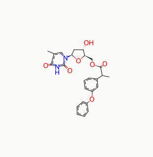 Cc1cn([C@H]2C[C@H](O)[C@@H](COC(=O)C(C)c3cccc(Oc4ccccc4)c3)O2)c(=O)[nH]c1=O